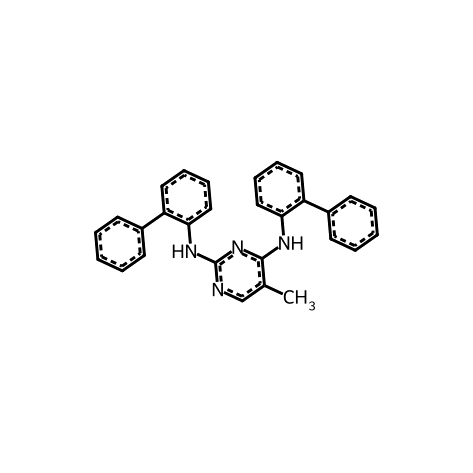 Cc1cnc(Nc2ccccc2-c2ccccc2)nc1Nc1ccccc1-c1ccccc1